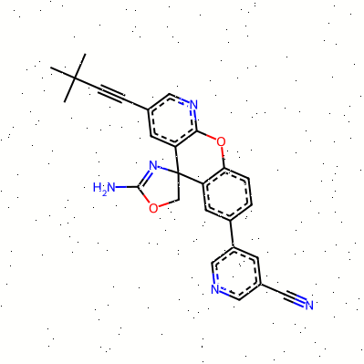 CC(C)(C)C#Cc1cnc2c(c1)C1(COC(N)=N1)c1cc(-c3cncc(C#N)c3)ccc1O2